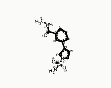 CNC(=O)c1cccc(-c2ccn(S(N)(=O)=O)c2)c1